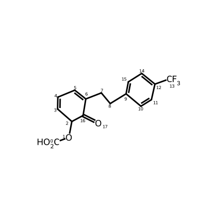 O=C(O)OC1C=CC=C(CCc2ccc(C(F)(F)F)cc2)C1=O